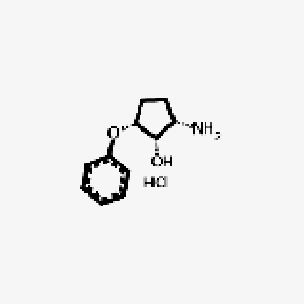 Cl.N[C@H]1CC[C@@H](Oc2ccccc2)[C@H]1O